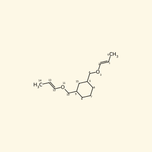 CC=COCC1CCCC(COC=CC)C1